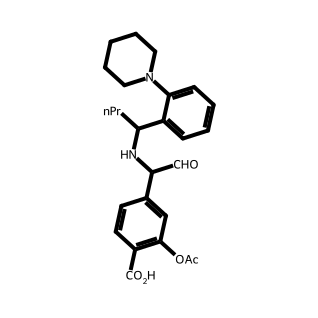 CCCC(NC(C=O)c1ccc(C(=O)O)c(OC(C)=O)c1)c1ccccc1N1CCCCC1